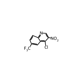 O=[N+]([O-])c1cnc2ccc(C(F)(F)F)cc2c1Cl